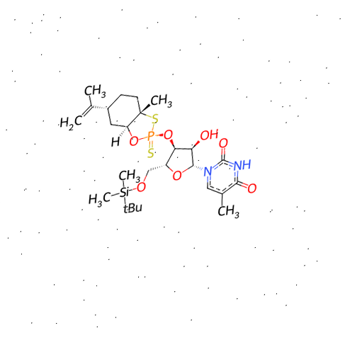 C=C(C)[C@@H]1CC[C@]2(C)S[P@@](=S)(O[C@H]3[C@@H](O)[C@H](n4cc(C)c(=O)[nH]c4=O)O[C@@H]3CO[Si](C)(C)C(C)(C)C)O[C@H]2C1